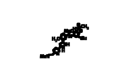 CNCCc1ccc(C2=CN(c3cc(C(=O)Nc4cc(C(C)(C)C)cc(NS(C)(=O)=O)c4OC)ccc3C)NN2)cn1